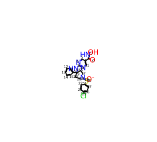 O=C(NO)c1cnc(NC2(c3ccccc3)CCN([S+]([O-])c3ccc(Cl)cc3)CC2)nc1